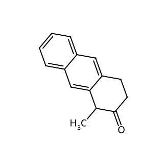 CC1C(=O)CCc2cc3ccccc3cc21